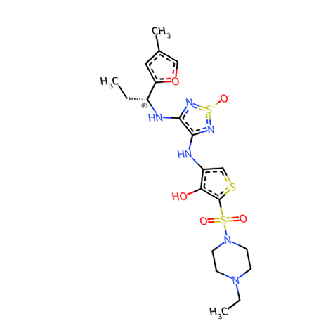 CC[C@@H](Nc1n[s+]([O-])nc1Nc1csc(S(=O)(=O)N2CCN(CC)CC2)c1O)c1cc(C)co1